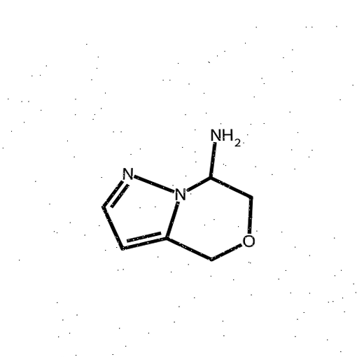 NC1COCc2ccnn21